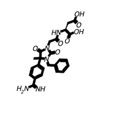 CC1(c2ccc(C(=N)N)cc2)C(=O)N(CC(=O)N[C@@H](CC(=O)O)C(=O)O)C(=O)N1Cc1ccccc1